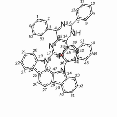 c1ccc(C2=NC(c3ccccc3)Nc3c2nc(-n2c4ccccc4c4ccc5c6ccccc6n(-c6ccccc6)c5c42)nc3-c2ccccc2)cc1